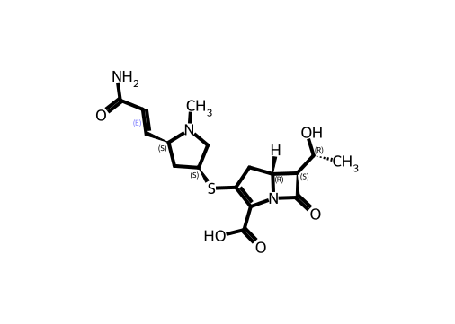 C[C@@H](O)[C@H]1C(=O)N2C(C(=O)O)=C(S[C@H]3C[C@@H](/C=C/C(N)=O)N(C)C3)C[C@H]12